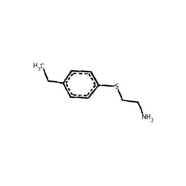 CCc1ccc(SCCN)cc1